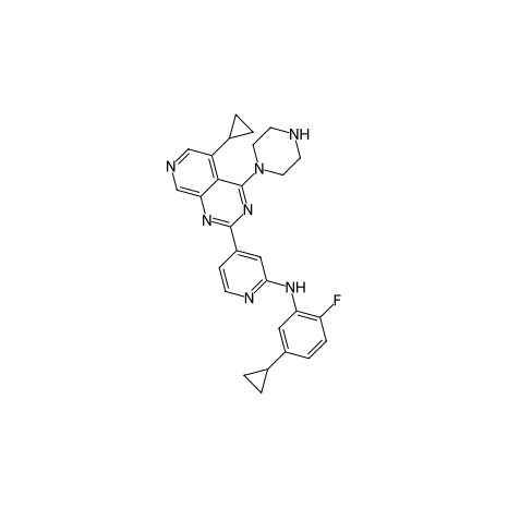 Fc1ccc(C2CC2)cc1Nc1cc(-c2nc(N3CCNCC3)c3c(C4CC4)cncc3n2)ccn1